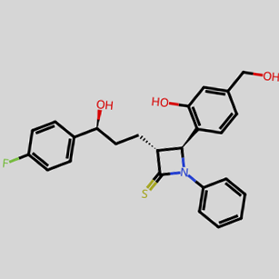 OCc1ccc([C@@H]2[C@@H](CC[C@H](O)c3ccc(F)cc3)C(=S)N2c2ccccc2)c(O)c1